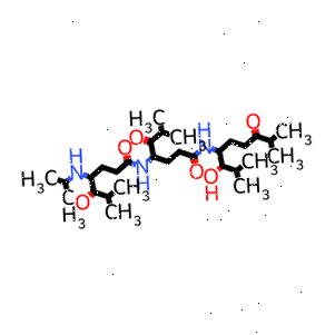 CC(C)NC(CCC(=O)NC(CCC(=O)NC(CCC(=O)C(C)C)C(O)C(C)C)C(=O)C(C)C)C(=O)C(C)C